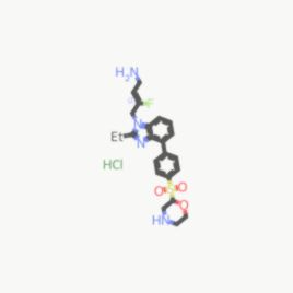 CCc1nc2c(-c3ccc(S(=O)(=O)C4CNCCO4)cc3)cccc2n1C/C(F)=C/CN.Cl